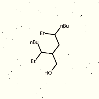 CCCCC(CC)CC(CO)C(CC)CCCC